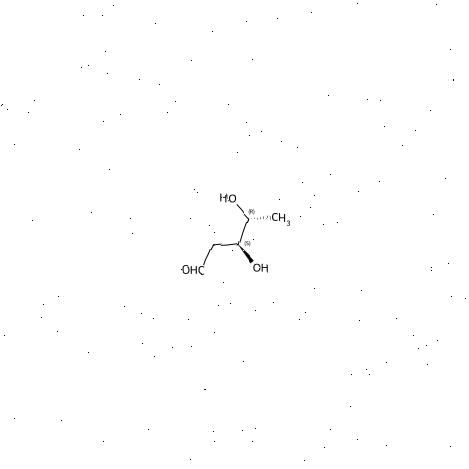 C[C@@H](O)[C@@H](O)CC=O